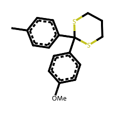 COc1ccc(C2(c3ccc(C)cc3)SCCCS2)cc1